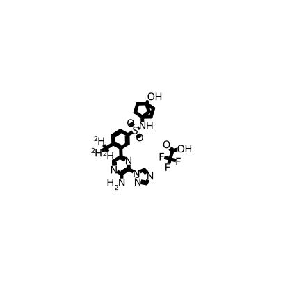 O=C(O)C(F)(F)F.[2H]C([2H])([2H])c1ccc(S(=O)(=O)NC23CCC(O)(CC2)C3)cc1-c1cnc(N)c(-n2cncn2)n1